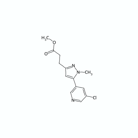 COC(=O)CCc1cc(-c2cncc(Cl)c2)n(C)n1